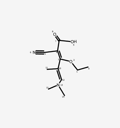 CCOC(=C(/C#N)C(=O)O)/C(C)=C/N(C)C